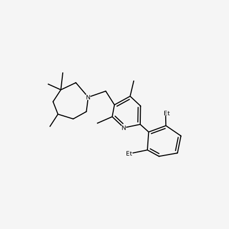 CCc1cccc(CC)c1-c1cc(C)c(CN2CCC(C)CC(C)(C)C2)c(C)n1